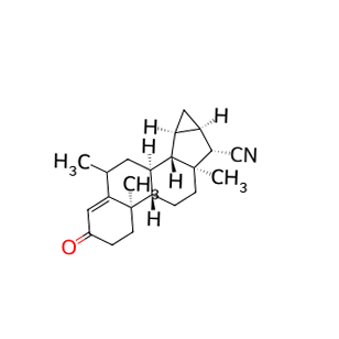 CC1C[C@H]2[C@@H]3[C@H]4C[C@H]4[C@H](C#N)[C@@]3(C)CC[C@@H]2[C@@]2(C)CCC(=O)C=C12